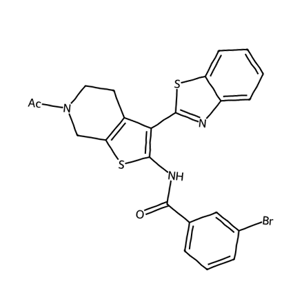 CC(=O)N1CCc2c(sc(NC(=O)c3cccc(Br)c3)c2-c2nc3ccccc3s2)C1